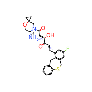 N[C@@H]1COC2(CC2)CN1C(=O)/C=C(\O)C(=O)/C=C/c1cc(F)cc2c1Cc1ccccc1SC2